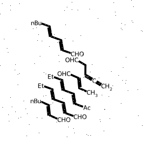 C=C=CCC=O.CC=CC=O.CCC=CC=CC(C)=O.CCC=CC=CC=O.CCCCC=CC=CC=O.CCCCC=CC=O